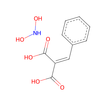 O=C(O)C(=Cc1ccccc1)C(=O)O.ONO